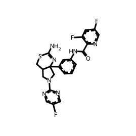 NC1=NC2(c3cccc(NC(=O)c4ncc(F)cc4F)c3)CN(c3ncc(F)cn3)CC2CS1